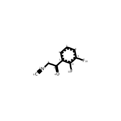 [C-]#[N+]CC(=O)c1cccc(F)c1F